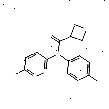 Cc1ccc(N(C(=O)C2CNC2)c2ccc(Br)cc2)nn1